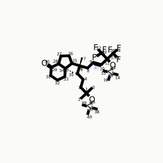 CC(C)(CCC[C@@](C)(C/C=C/C(O[Si](C)(C)C)(C(F)(F)F)C(F)(F)F)C1CCC2C(=O)CCC[C@@]21C)O[Si](C)(C)C